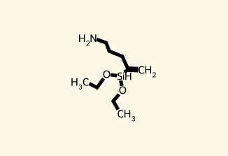 C=C(CCCN)[SiH](OCC)OCC